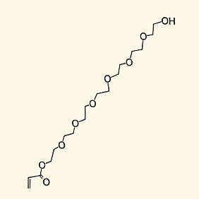 C=CC(=O)OCCOCCOCCOCCOCCOCCOCCO